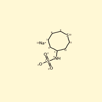 O=S(=O)([O-])NC1CCCCSCC1.[Na+]